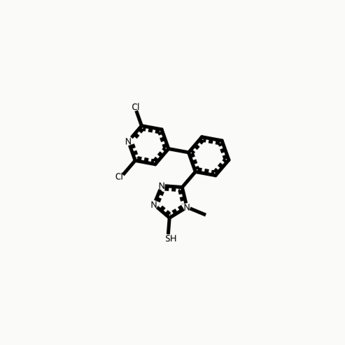 Cn1c(S)nnc1-c1ccccc1-c1cc(Cl)nc(Cl)c1